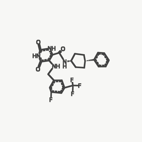 O=C(N[C@H]1CC[C@@H](c2ccccc2)CC1)c1[nH]c(=O)[nH]c(=O)c1NCc1cc(F)cc(C(F)(F)F)c1